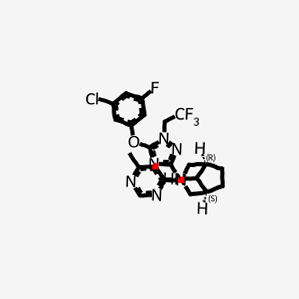 Cc1cc(N2C[C@H]3CC[C@@H](C2)C3Nc2nc(Oc3cc(F)cc(Cl)c3)n(CC(F)(F)F)n2)ncn1